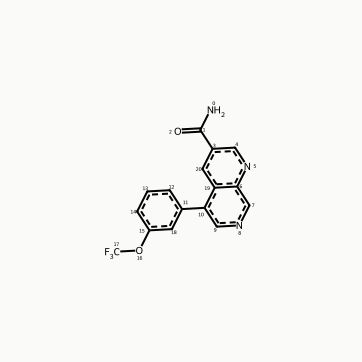 NC(=O)c1cnc2cncc(-c3cccc(OC(F)(F)F)c3)c2c1